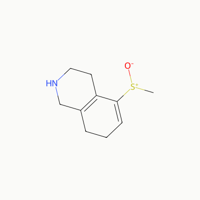 C[S+]([O-])C1=CCCC2=C1CCNC2